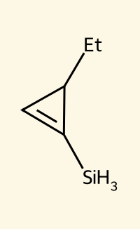 CCC1C=C1[SiH3]